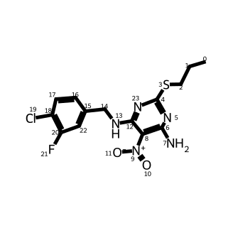 CCCSc1nc(N)c([N+](=O)[O-])c(NCc2ccc(Cl)c(F)c2)n1